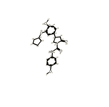 COc1ccc(NC(=O)N2CC(c3ccc(OC)c(OC4CCCC4)c3)CC2=O)cc1